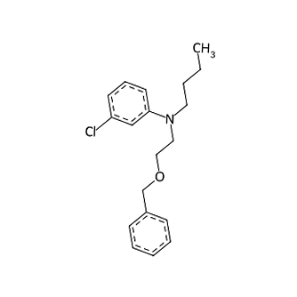 CCCCN(CCOCc1ccccc1)c1cccc(Cl)c1